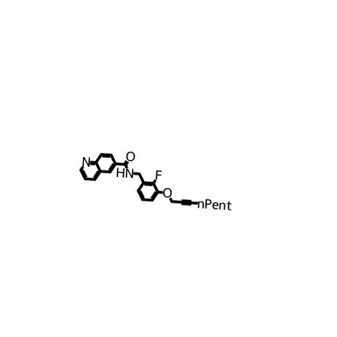 CCCCCC#CCOc1cccc(CNC(=O)c2ccc3ncccc3c2)c1F